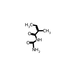 CC=C(C)C(=O)NC(N)=O